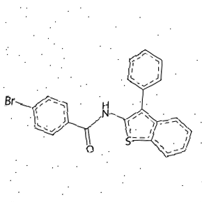 O=C(Nc1sc2ccccc2c1-c1ccccc1)c1ccc(Br)cc1